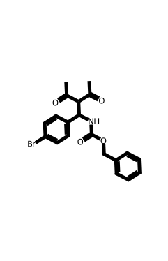 CC(=O)C(C(C)=O)C(NC(=O)OCc1ccccc1)c1ccc(Br)cc1